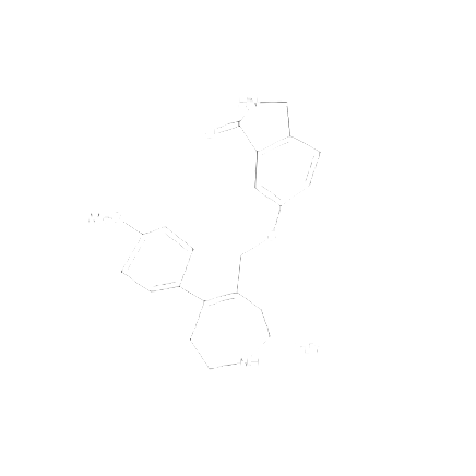 CCC[C@H]1CC(COc2ccc3c(c2)C(=O)NC3)=C(c2ccc(OC)cc2)CCN1